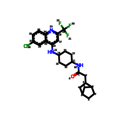 O=C(CC1CC2CCC1C2)NC1CCC(Nc2cc(C(F)(F)F)nc3ccc(Cl)cc23)CC1